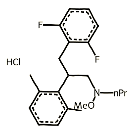 CCCN(CC(Cc1c(F)cccc1F)c1c(C)cccc1C)OC.Cl